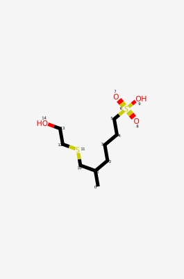 CC(CCCCS(=O)(=O)O)CSCCO